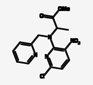 COC(=O)C(C)N(Cc1ccccn1)c1nc(Cl)ccc1[N+](=O)[O-]